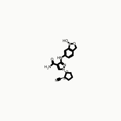 N#C[C@@H]1CCC[C@H]1n1cc(C(N)=O)c(Nc2ccc3c(c2)B(O)OC3)n1